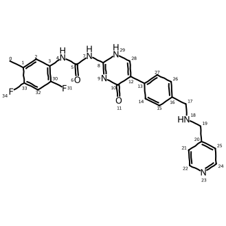 Cc1cc(NC(=O)Nc2nc(=O)c(-c3ccc(CNCc4ccncc4)cc3)c[nH]2)c(F)cc1F